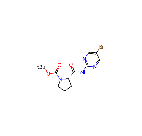 CC(C)(C)OC(=O)N1CCC[C@H]1C(=O)Nc1ncc(Br)cn1